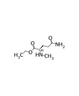 CCOC(=O)[C@@H](CCC(N)=O)NC